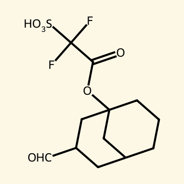 O=CC1CC2CCCC(OC(=O)C(F)(F)S(=O)(=O)O)(C1)C2